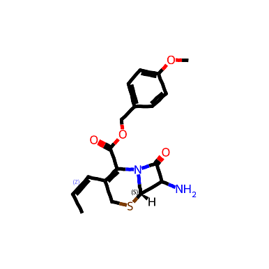 C/C=C\C1=C(C(=O)OCc2ccc(OC)cc2)N2C(=O)C(N)[C@@H]2SC1